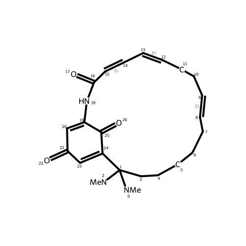 CNC1(NC)CCCCC/C=C/[CH]C/C=C/C=C/C(=O)NC2=CC(=O)C=C1C2=O